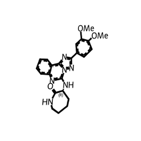 COc1ccc(-c2nc3c4ccccc4nc(N[C@@H]4CCCCNC4=O)n3n2)cc1OC